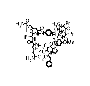 CCC(C)C(C(CC(=O)N1CCCC1C(OC)C(C)C(=O)NC(Cc1ccccc1)C(=O)O)OC)N(C)C(=O)[C@@H](NC(=O)C(C(C)C)N(C)C(=O)OCc1ccc(NC(=O)C(CCCNC(N)=O)NC(=O)C(NC(=O)C(N)CCCCN)C(C)C)cc1)C(C)C